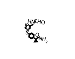 CC(C)CN(CCCNC=O)Sc1ccc(C2(C(N)=O)CC2)cc1